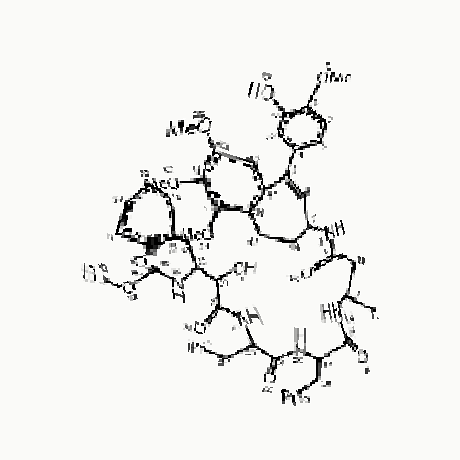 COc1ccc(C2=CC(NC(=O)CC(C)NC(=O)C(CC(C)C)NC(=O)C(CC(C)C)NC(=O)C(O)C(Cc3ccccc3)NC(=O)OC(C)(C)C)CCc3c2cc(OC)c(OC)c3OC)cc1O